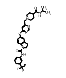 CC(C)NC(=O)C1CCN(Cc2cc(Oc3ccc4c(c3)CCN4C(=O)Nc3cccc(C(F)(F)F)c3)ncn2)CC1